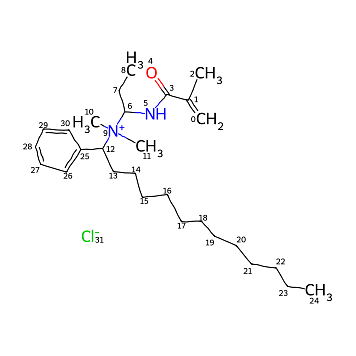 C=C(C)C(=O)NC(CC)[N+](C)(C)C(CCCCCCCCCCCC)c1ccccc1.[Cl-]